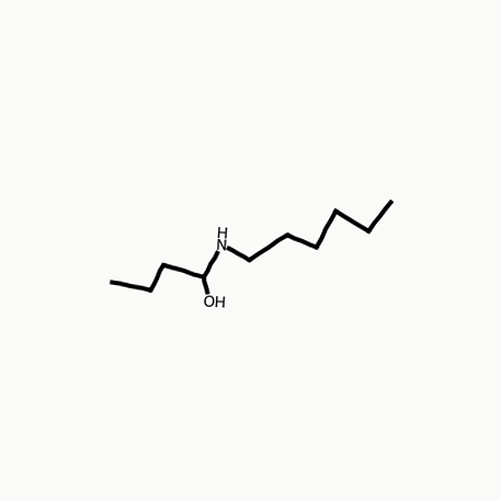 CCCCCCNC(O)CCC